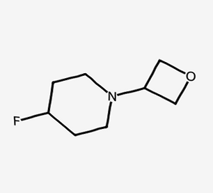 FC1CCN(C2COC2)CC1